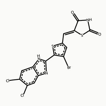 O=C1NC(=O)C(=Cc2cc(Br)c(-c3nc4cc(Cl)c(Cl)cc4[nH]3)s2)S1